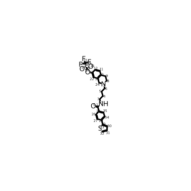 O=C(NCCCCN1CCc2ccc(OS(=O)(=O)C(F)(F)F)cc2C1)c1ccc(-c2cccs2)cc1